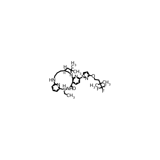 CC[SH]1NC(=O)c2ccc(-n3ccc(OCCC(C)(C)C(F)(F)F)n3)nc2N2C[C@@H](CCCNc3cccc1n3)CC2(C)C